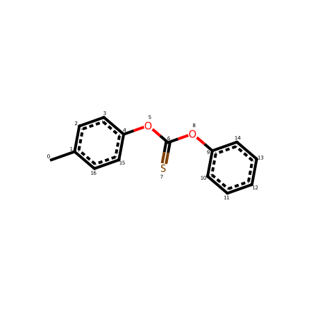 Cc1ccc(OC(=S)Oc2ccccc2)cc1